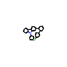 Brc1ccc(-c2ccccc2-c2ccc3c4ccccc4n(-c4ccccc4)c3c2)cc1